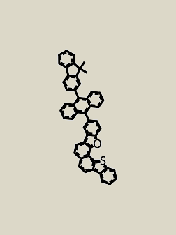 CC1(C)c2ccccc2-c2ccc(-c3c4ccccc4c(-c4ccc5oc6c(ccc7ccc8c9ccccc9sc8c76)c5c4)c4ccccc34)cc21